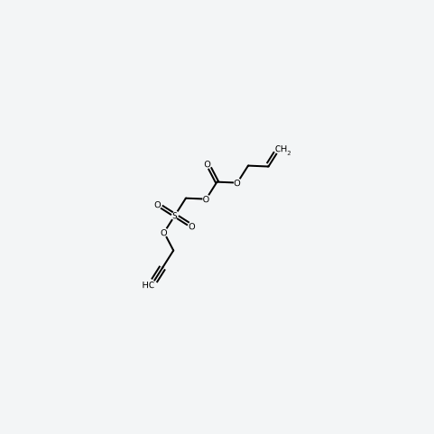 C#CCOS(=O)(=O)COC(=O)OCC=C